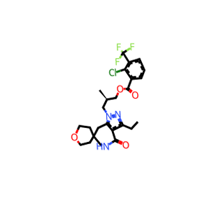 CCc1nn(C[C@@H](C)COC(=O)c2cccc(C(F)(F)F)c2Cl)c2c1C(=O)NCC1(CCOCC1)C2